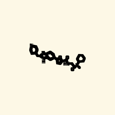 CN(C(=O)CNC(=O)c1ccc(-c2ccc3nc(Cc4ccncc4)[nH]c3c2)o1)C1CCCCC1